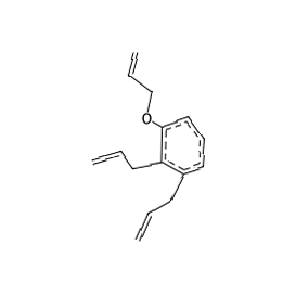 C=CCOc1cccc(CC=C)c1CC=C